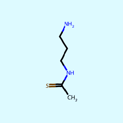 CC(=S)NCCCN